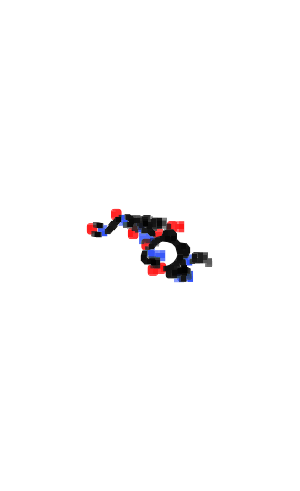 CCn1c(-c2cncnc2)c2c3cc(ccc31)-c1cc(O)cc(c1)C[C@H](NC(=O)C(CN(C)C(=O)[C@H]1CCN(C(=O)C#CCN3CCOCC3)C1)C(C)C)C(=O)N1CCC[C@H](N1)C(=O)OCC(C)(C)C2